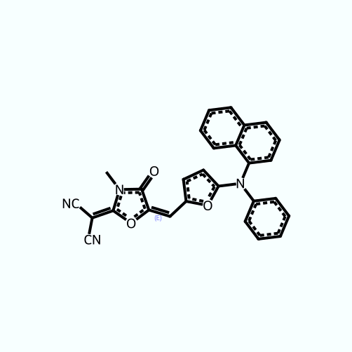 Cn1c(=C(C#N)C#N)o/c(=C/c2ccc(N(c3ccccc3)c3cccc4ccccc34)o2)c1=O